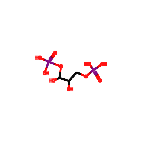 O=P(O)(O)OCC(O)C(O)OP(=O)(O)O